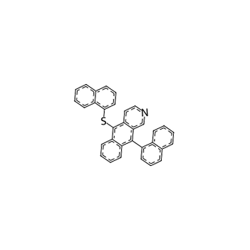 c1ccc2c(Sc3c4ccccc4c(-c4cccc5ccccc45)c4cnccc34)cccc2c1